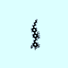 CCCCCc1ccc(-c2ccc(CCc3cc(F)c(F)c(F)c3)c(F)c2F)cc1